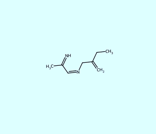 C=C(CC)C/N=C\C(C)=N